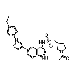 CCc1ccc(-n2cc(-c3ccc4[nH]cc(NS(=O)(=O)CC5CCN(C(C)=O)C5)c4c3)cn2)cc1